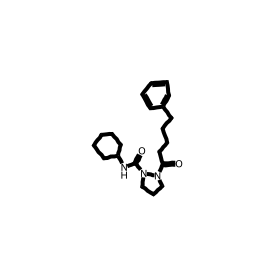 O=C(CCCCc1ccccc1)N1CCCN1C(=O)NC1CCCCC1